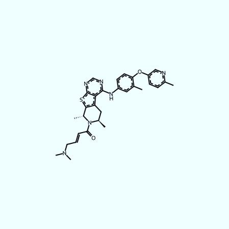 Cc1ccc(Oc2ccc(Nc3ncnc4sc5c(c34)C[C@@H](C)N(C(=O)/C=C/CN(C)C)[C@@H]5C)cc2C)cn1